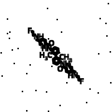 Cc1c(NC(=O)c2ccc(CNCCF)cn2)cccc1-c1cccc(NC(=O)c2ccc(CNCCF)cn2)c1C